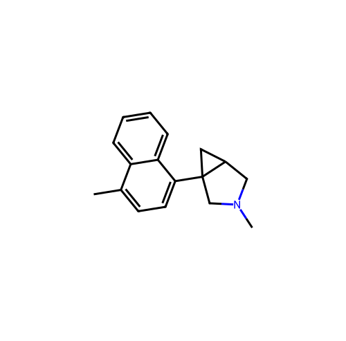 Cc1ccc(C23CC2CN(C)C3)c2ccccc12